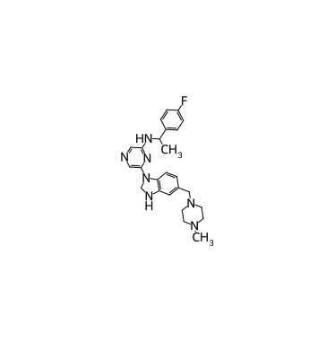 CC(Nc1cncc(N2CNc3cc(CN4CCN(C)CC4)ccc32)n1)c1ccc(F)cc1